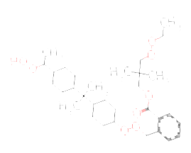 CCOOCC(C)(C)COC(=O)c1ccccc1COOC1CCC(C(C)(C)C2CCC(C(C)OO)CC2)CC1